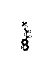 CC(C)(C)OCC(=O)OC(=O)c1ccc2ncccc2c1